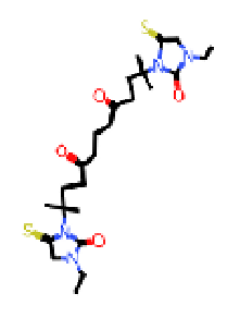 CCN1CC(=S)N(C(C)(C)CCC(=O)CCCC(=O)CCC(C)(C)N2C(=O)N(CC)CC2=S)C1=O